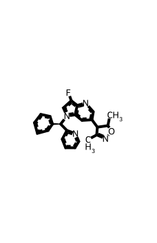 CC1=NOC(C)C1c1cnc2c(F)cn([C@H](c3ccccc3)c3ccccn3)c2c1